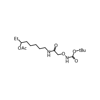 CCC(CCCCCNC(=O)CONC(=O)OC(C)(C)C)OC(C)=O